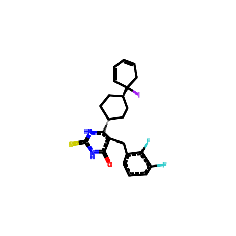 O=c1[nH]c(=S)[nH]c([C@H]2CC[C@H](C3(I)C=CC=CC3)CC2)c1Cc1cccc(F)c1F